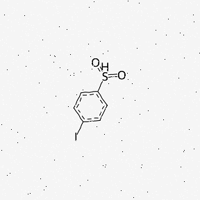 O=[SH](=O)c1ccc(I)cc1